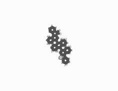 CC1(C)c2ccccc2-c2c1cc(-c1c3ccccc3c(-c3cc4oc5ccccc5c4c4ccccc34)c3ccccc13)c1ccccc21